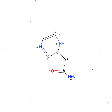 NC(=O)CC1C=NC=CN1